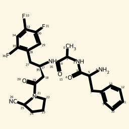 CC(NC(=O)C(N)Cc1ccccc1)C(=O)N[C@@H](CC(=O)N1CCCC1C#N)Cc1cc(F)c(F)cc1F